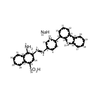 Nc1c(N=Nc2ccc(-c3cccc4c3sc3ccccc34)nc2)cc(S(=O)(=O)O)c2ccccc12.[NaH]